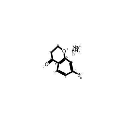 O=C1CCOc2cc(Br)ccc21.[BH4-].[Na+]